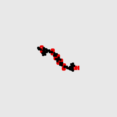 C=CC(=O)Oc1c(C)cc(CCC(=O)OCC(C)(C)C2OCC3(COC(C(C)(C)COC(=O)CCc4cc(C)c(O)c(C(C)(C)C)c4)OC3)CO2)cc1C(C)(C)C